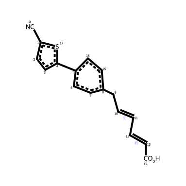 N#Cc1ccc(-c2ccc(C/C=C/C=C/C(=O)O)cc2)s1